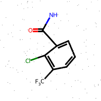 [NH]C(=O)c1cccc(C(F)(F)F)c1Cl